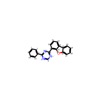 c1ccc(-c2ncnc(-c3cccc4c3oc3ccccc34)n2)cc1